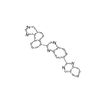 c1ccc2nc(-c3ccc4ncc(-c5cccc6c5ccc5cncnc56)nc4c3)ncc2c1